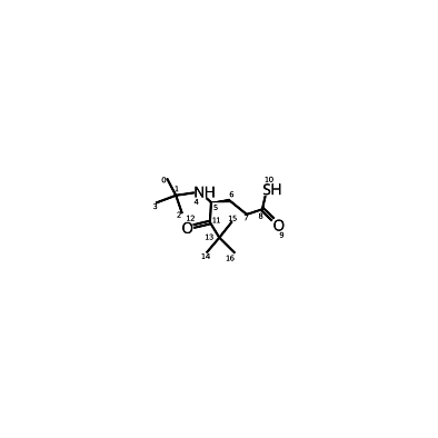 CC(C)(C)N[C@@H](CCC(=O)S)C(=O)C(C)(C)C